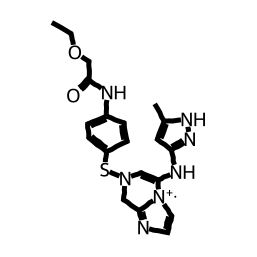 CCOCC(=O)Nc1ccc(SN2C=C(Nc3cc(C)[nH]n3)[N+]3C=CN=C3C2)cc1